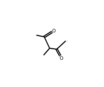 [CH2]C(=O)C(C)C(C)=O